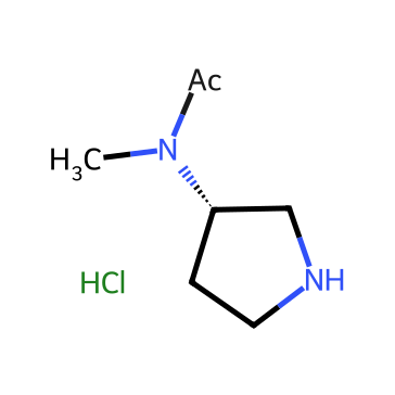 CC(=O)N(C)[C@H]1CCNC1.Cl